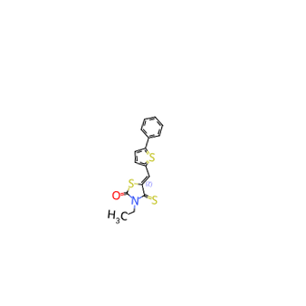 CCN1C(=O)S/C(=C\c2ccc(-c3ccccc3)s2)C1=S